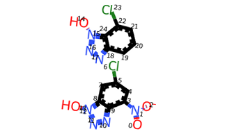 O=[N+]([O-])c1cc(Cl)cc2c1nnn2O.On1nnc2cccc(Cl)c21